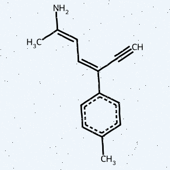 C#C/C(=C\C=C(/C)N)c1ccc(C)cc1